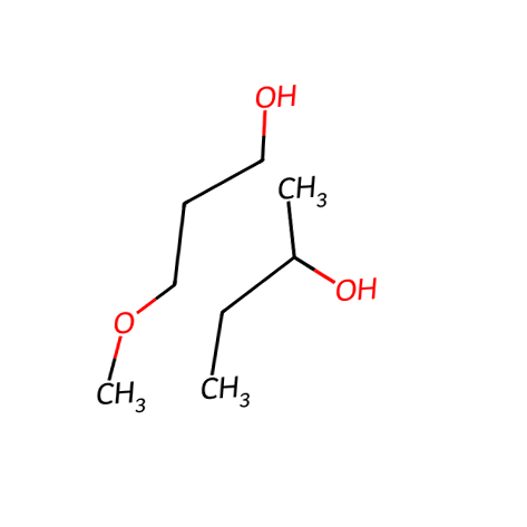 CCC(C)O.COCCCO